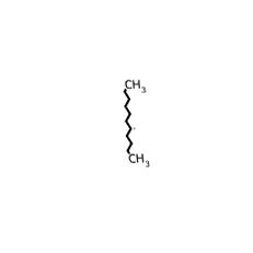 CCCC[CH]CCCCCC